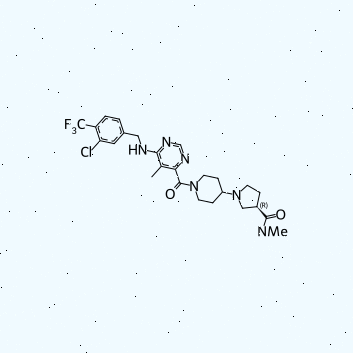 CNC(=O)[C@@H]1CCN(C2CCN(C(=O)c3ncnc(NCc4ccc(C(F)(F)F)c(Cl)c4)c3C)CC2)C1